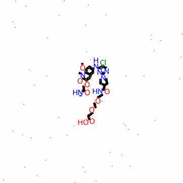 CNC(=O)COc1cc2cc(Nc3nc(N4CCC(C(=O)NCCOCCOCCC(=O)O)CC4)ncc3Cl)cc(OC)c2n(C)c1=O